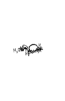 Cn1ccc(C(=O)N[C@H]2CCCCC/C=C\C3C[C@@]3(C(=O)NS(=O)(=O)C3(C)CC3)NC(=O)C3CCCN3C2=O)n1